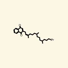 CC(=CCC1=CC(=O)c2ccccc2C1=O)CCCC(C)CCCC(C)CCCC(C)C